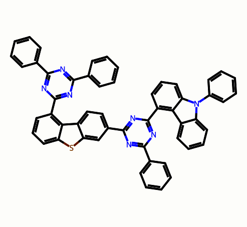 c1ccc(-c2nc(-c3ccccc3)nc(-c3cccc4sc5cc(-c6nc(-c7ccccc7)nc(-c7cccc8c7c7ccccc7n8-c7ccccc7)n6)ccc5c34)n2)cc1